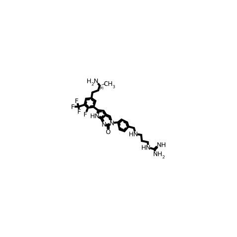 C[C@@H](N)CCc1cc(-c2cc3cn(-c4ccc(CNCCCNC(=N)N)cc4)c(=O)nc3[nH]2)c(F)c(C(F)(F)F)c1